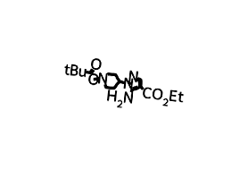 CCOC(=O)c1cnn(C2CCN(OC(=O)C(C)(C)C)CC2)c1N